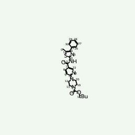 Cc1sc(NC(=O)c2ccc(N3CCN(C(=O)OC(C)(C)C)CC3)nc2)nc1-c1ccccc1